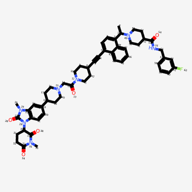 CC(c1ccc(C#CC2CCN(C(=O)CN3CCC(c4ccc5c(c4)n(C)c(=O)n5C4CCC(=O)N(C)C4=O)CC3)CC2)c2ccccc12)N1CCC(C(=O)NCc2cccc(F)c2)CC1